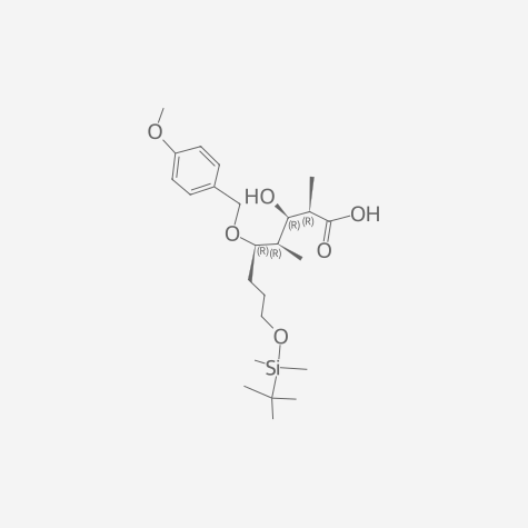 COc1ccc(CO[C@H](CCCO[Si](C)(C)C(C)(C)C)[C@H](C)[C@@H](O)[C@@H](C)C(=O)O)cc1